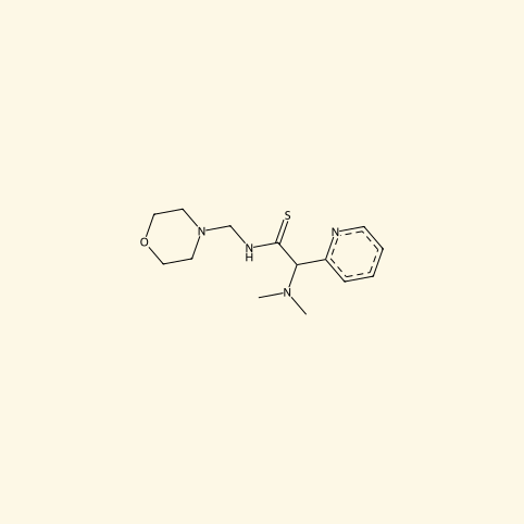 CN(C)C(C(=S)NCN1CCOCC1)c1ccccn1